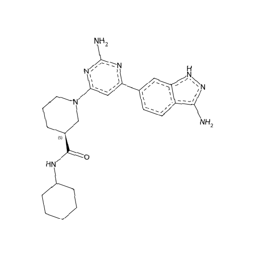 Nc1nc(-c2ccc3c(N)n[nH]c3c2)cc(N2CCC[C@H](C(=O)NC3CCCCC3)C2)n1